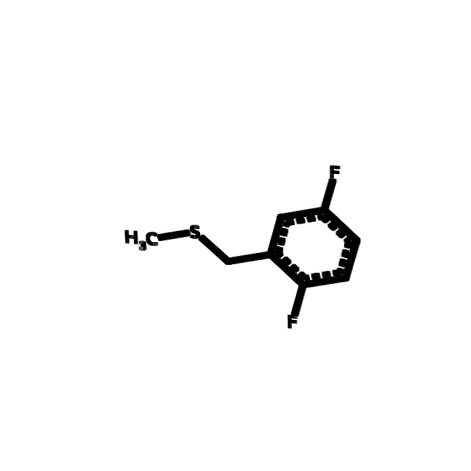 CSCc1cc(F)ccc1F